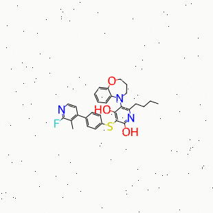 CCCCc1nc(O)c(Sc2ccc(-c3ccnc(F)c3C)cc2)c(O)c1N1CCCOc2ccccc21